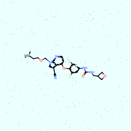 C[SiH](C)CCOCn1cc(C#N)c2c(Oc3c(F)cc(NC(=O)NCC4COC4)cc3F)ccnc21